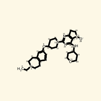 CCN1CCc2ccc(OC3CCN(c4nc5c(c(NC6CCOCC6)n4)[S+]([O-])CC5)CC3)cc2CC1